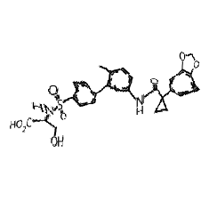 Cc1ccc(NC(=O)C2(c3ccc4c(c3)OCO4)CC2)cc1-c1ccc(S(=O)(=O)N[C@@H](CO)C(=O)O)cc1